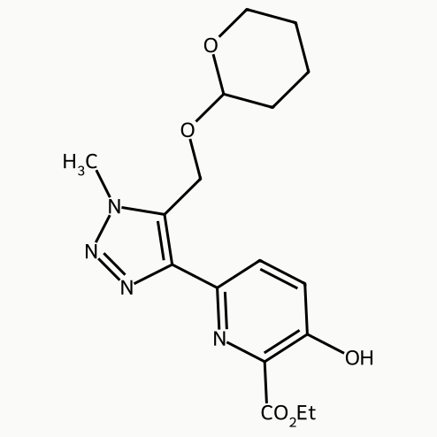 CCOC(=O)c1nc(-c2nnn(C)c2COC2CCCCO2)ccc1O